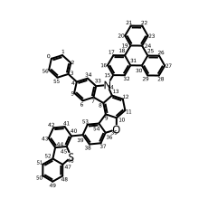 c1ccc(-c2ccc3c4c5c(ccc4n(-c4ccc6c7ccccc7c7ccccc7c6c4)c3c2)oc2ccc(-c3cccc4c3sc3ccccc34)cc25)cc1